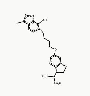 CCCc1c(OCCCOc2ccc3c(c2)CCC3[C@H](C)C(=O)O)ccc2c(F)noc12